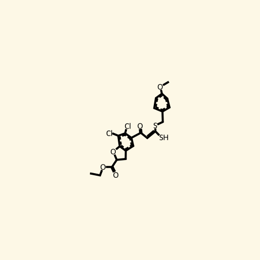 CCOC(=O)C1Cc2cc(C(=O)C=C(S)SCc3ccc(OC)cc3)c(Cl)c(Cl)c2O1